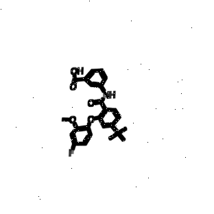 COc1cc(F)ccc1Oc1cc(C(C)(C)C)ccc1C(=O)Nc1cccc(C(=O)O)c1